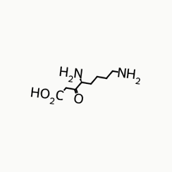 NCCCC[C@H](N)C(=O)CC(=O)O